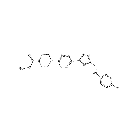 CC(C)(C)OC(=O)N1CCC(c2ccc(-c3nnc(CNc4ccc(F)cc4)o3)nn2)CC1